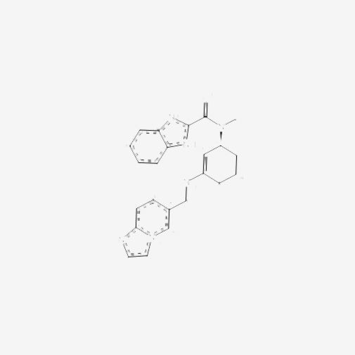 CCN(C(=O)c1nc2ccccc2[nH]1)[C@@H]1C=C(NCc2ccc3nccn3c2)CCC1